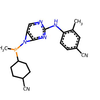 Cc1cc(C#N)ccc1Nc1ncc2c(n1)N2P(C)C1CCC(C#N)CC1